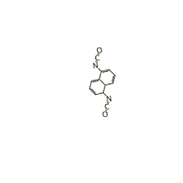 O=C=NC1=CC=CC2C1=CC=CC2N=C=O